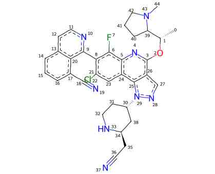 C[C@H](Oc1nc2c(F)c(-c3nccc4cccc(C#N)c34)c(Cl)cc2c2c1cnn2[C@H]1CCN[C@H](CC#N)C1)C1CCCN1C